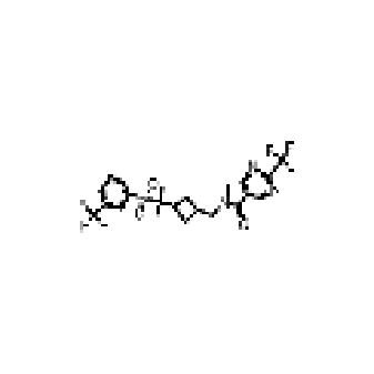 CC(C)(C1CC(CNC(=O)c2cnc(C(F)(F)F)nc2)C1)S(=O)(=O)c1cccc(C(F)(F)F)c1